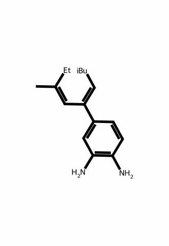 CC/C(C)=C\C(=C/C(C)CC)c1ccc(N)c(N)c1